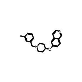 Cc1cccc(CN2CCC(Oc3ccc4cnccc4c3)CC2)c1